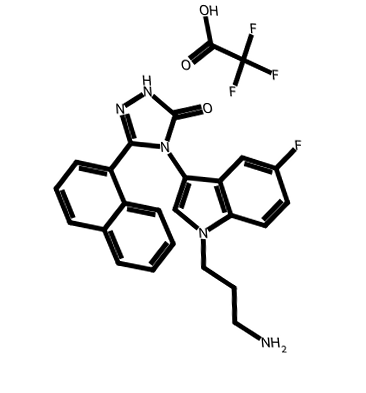 NCCCn1cc(-n2c(-c3cccc4ccccc34)n[nH]c2=O)c2cc(F)ccc21.O=C(O)C(F)(F)F